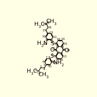 CC(C)CCc1ccc(Sc2cccc3c2C(=O)c2c(Sc4ccc(CCC(C)C)cc4N)cccc2C3=O)c(N)c1